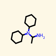 CC(N)N(C1CCCCC1)C1CCCCC1